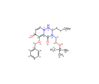 COCCC1Nn2ccc(=O)c(OCc3ccccc3)c2C(=O)N1CCO[Si](C)(C)C(C)(C)C